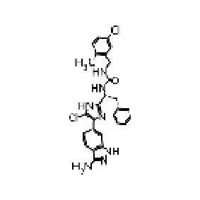 Cc1ccc(Cl)cc1CNC(=O)N[C@@H](Cc1ccccc1)c1nc(-c2ccc3c(N)n[nH]c3c2)c(Cl)[nH]1